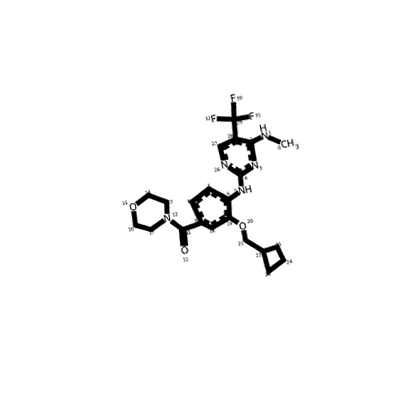 CNc1nc(Nc2ccc(C(=O)N3CCOCC3)cc2OCC2CCC2)ncc1C(F)(F)F